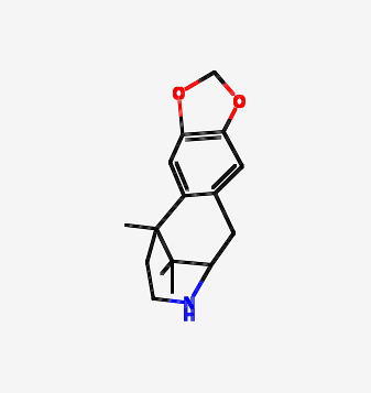 CC12CCNC(Cc3cc4c(cc31)OCO4)C2(C)C